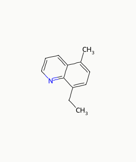 CCc1ccc(C)c2cccnc12